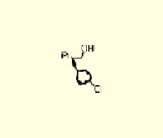 CC(C)C(=Cc1ccc(Cl)cc1)CO